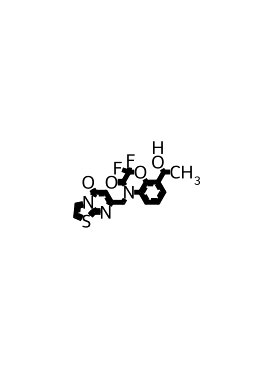 CC(O)c1cccc2c1OC(F)(F)C(=O)N2Cc1cc(=O)n2ccsc2n1